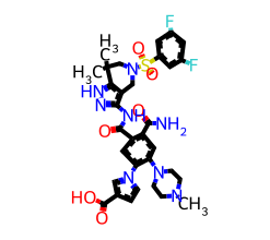 CN1CCN(c2cc(C(N)=O)c(C(=O)Nc3n[nH]c4c3CN(S(=O)(=O)c3cc(F)cc(F)c3)CC4(C)C)cc2-n2ccc(C(=O)O)c2)CC1